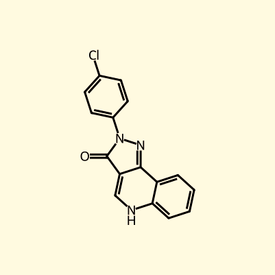 O=c1c2c[nH]c3ccccc3c-2nn1-c1ccc(Cl)cc1